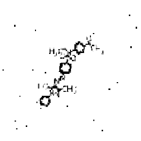 CCN(c1ccc(C(C)=O)cc1)S(=O)(=O)c1ccc(/N=N/c2c(C)nn(-c3ccccc3)c2O)cc1